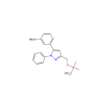 CC(C)COc1cccc(-c2cc(COC(C)(C)C(=O)O)nn2-c2ccccc2)c1